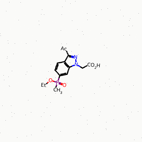 CCOP(C)(=O)c1ccc2c(C(C)=O)nn(CC(=O)O)c2c1